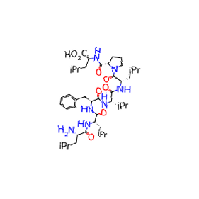 CC(C)C[C@H](NC(=O)[C@@H]1CCCN1C(=O)[C@H](CC(C)C)NC(=O)[C@@H](NC(=O)[C@H](Cc1ccccc1)NC(=O)[C@H](CC(C)C)NC(=O)[C@@H](N)CC(C)C)C(C)C)C(=O)O